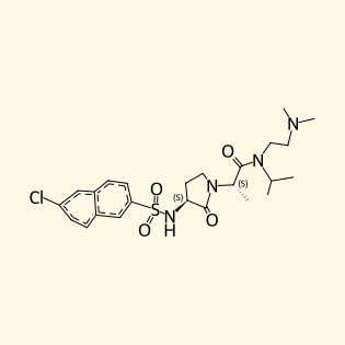 CC(C)N(CCN(C)C)C(=O)[C@H](C)N1CC[C@H](NS(=O)(=O)c2ccc3cc(Cl)ccc3c2)C1=O